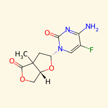 CC12C[C@H](n3cc(F)c(N)nc3=O)O[C@@H]1COC2=O